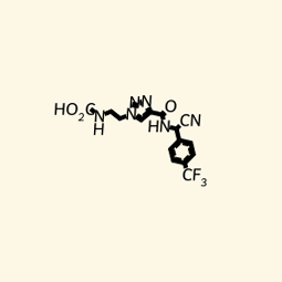 N#CC(NC(=O)c1cn(CCNC(=O)O)nn1)c1ccc(C(F)(F)F)cc1